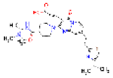 CC(C)c1csc(CCc2ccn3c(=O)c(/C=C/C(=O)O)c(N4CCC(C(=O)NC(C)N(C)C)CC4)nc3c2)n1